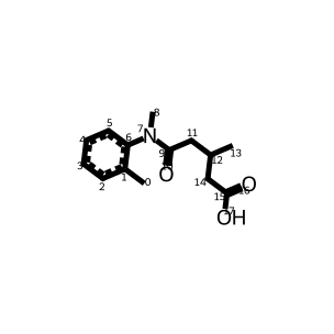 Cc1ccccc1N(C)C(=O)CC(C)CC(=O)O